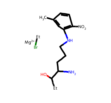 CCBr.CCC(O)C(N)CCCNc1cc(C)ccc1[N+](=O)[O-].[Mg+2]